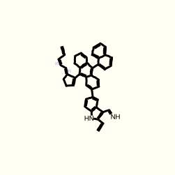 C=C/C=C\C=C1/CCC=C1c1c2c(c(-c3cccc4ccccc34)c3ccc(-c4ccc5[nH]c(C=C)c(C=N)c5c4)cc13)C=CCC2